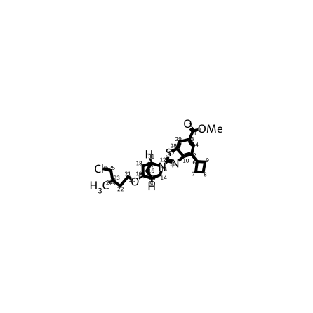 COC(=O)c1cc(C2CCC2)c2nc(N3C[C@H]4C[C@@H]3C[C@@H]4OCC[C@@H](C)CCl)sc2c1